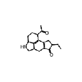 CCC1CC2=C(CC3CNC4CCC(C(C)=O)C2=C34)C1=O